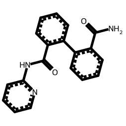 NC(=O)c1ccccc1-c1ccccc1C(=O)Nc1ccccn1